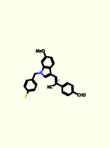 COc1ccc2c(/C=C(\C#N)c3ccc(C=O)cc3)cn(Cc3ccc(F)cc3)c2c1